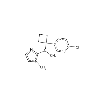 CN(c1nccn1C)C1(c2ccc(Cl)cc2)CCC1